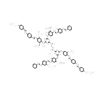 COc1cc(N=Nc2ccc(N=Nc3ccccc3)cc2S(=O)(=O)O)c(C)cc1Cc1nc(Cc2ccc(N=Nc3ccc(N=Nc4ccc(S(=O)(=O)O)cc4)cc3)c(C)c2)nc(NCCNc2nc(Nc3ccc(N=Nc4ccc(N=Nc5ccccc5)cc4S(=O)(=O)O)c(C)c3)nc(Nc3cc(C)c(N=Nc4ccc(N=Nc5ccc(S(=O)(=O)O)cc5)cc4)cc3CO)n2)n1